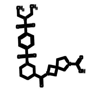 CCN(CC)S(=O)(=O)c1ccc(S(=O)(=O)N2CCCC(C(=O)N3CC4(CCN(C(=O)O)C4)C3)C2)cc1